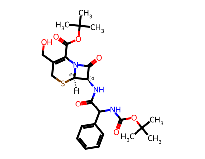 CC(C)(C)OC(=O)NC(C(=O)N[C@@H]1C(=O)N2C(C(=O)OC(C)(C)C)=C(CO)CS[C@H]12)c1ccccc1